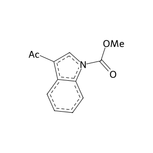 COC(=O)n1cc(C(C)=O)c2ccccc21